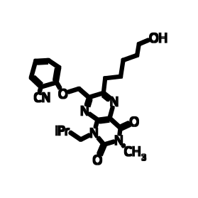 CC(C)Cn1c(=O)n(C)c(=O)c2nc(CCCCCO)c(COc3ccccc3C#N)nc21